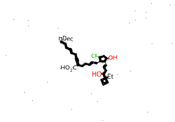 CCCCCCCCCCCCCCCCC#CC(CCC=CC[C@@H]1[C@@H](C=CC[C@H](O)C2(CC)CCC2)[C@H](O)C[C@H]1Cl)C(=O)O